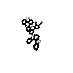 Cc1ccccc1C1=C(O)CCc2c1c1ccccc1n2-c1c(-c2cccc(N3c4ccccc4C4c5c(oc6ccccc56)C=CC43C)c2)ccc(C#N)c1C#N